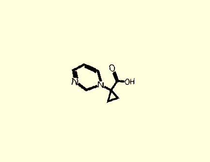 O=C(O)C1(N2C=CC=NC2)CC1